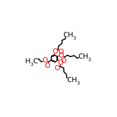 CCCCCC(=O)Oc1cc(C(=O)OCCC)cc(OC(=O)CCCCC)c1OC(=O)CCCCC